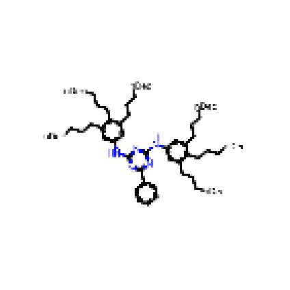 CCCCCCCCCCCCCc1cc(Nc2nc(Nc3cc(CCCCCCCCCCCCC)c(CCCCCCCCCCCCC)c(CCCCCCCCCCCCC)c3)nc(-c3cc[c]cc3)n2)cc(CCCCCCCCCCCCC)c1CCCCCCCCCCCCC